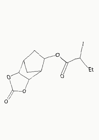 CCC(I)C(=O)OC1CC2CC1C1OC(=O)OC21